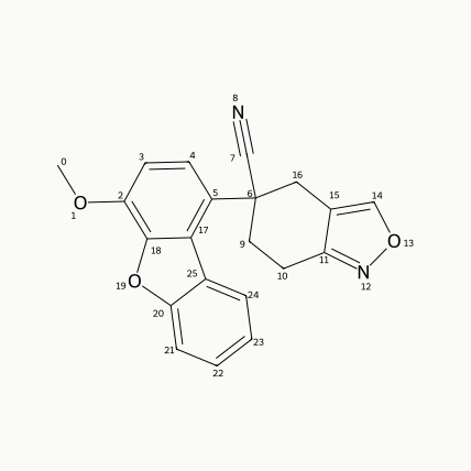 COc1ccc(C2(C#N)CCc3nocc3C2)c2c1oc1ccccc12